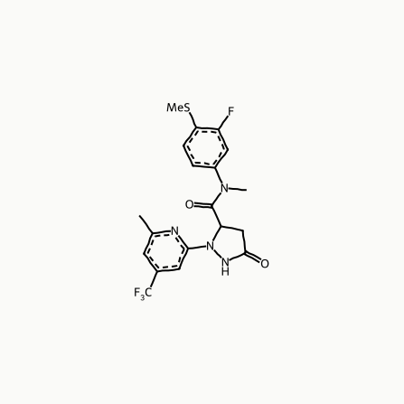 CSc1ccc(N(C)C(=O)C2CC(=O)NN2c2cc(C(F)(F)F)cc(C)n2)cc1F